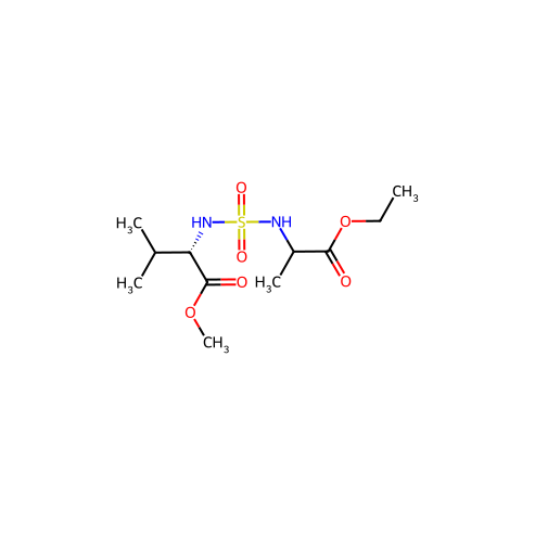 CCOC(=O)C(C)NS(=O)(=O)N[C@H](C(=O)OC)C(C)C